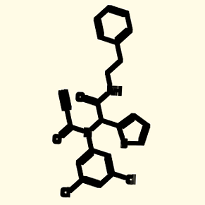 C#CC(=O)N(c1cc(Cl)cc(Cl)c1)C(C(=O)NCCc1ccccc1)c1cccs1